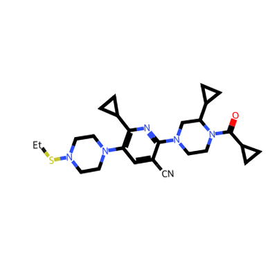 CCSN1CCN(c2cc(C#N)c(N3CCN(C(=O)C4CC4)C(C4CC4)C3)nc2C2CC2)CC1